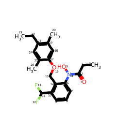 CCC(=O)N(O)c1cccc(C(F)F)c1COc1cc(C)c(CC)cc1C